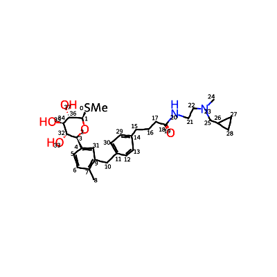 CS[C@H]1O[C@@H](c2ccc(C)c(Cc3ccc(CCCC(=O)NCCN(C)CC4CC4)cc3)c2)[C@H](O)[C@@H](O)[C@@H]1O